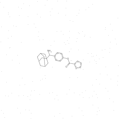 NC(c1ccc(OC(=O)c2cccs2)cc1)C12CC3CC(CC(C3)C1)C2